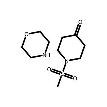 C1COCCN1.CS(=O)(=O)N1CCC(=O)CC1